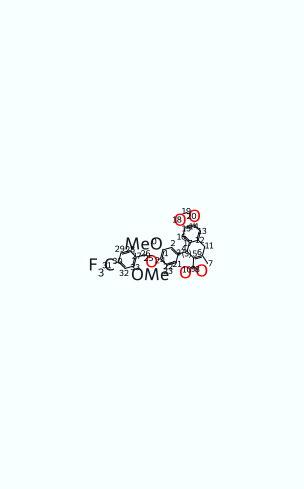 COc1cc([C@@H]2C3=C(COC3=O)Cc3cc4c(cc32)OCO4)cc(OC)c1OCc1ccc(C(F)(F)F)cc1